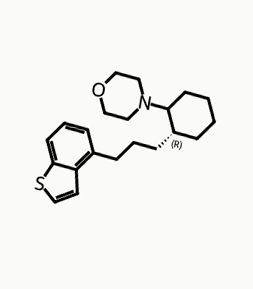 c1cc(CCC[C@H]2CCCCC2N2CCOCC2)c2ccsc2c1